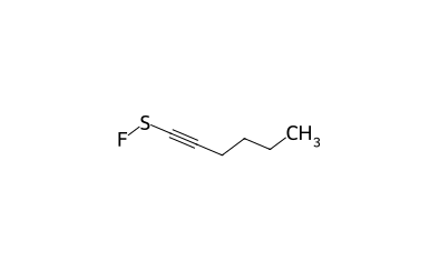 CCCCC#CSF